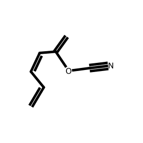 C=C/C=C\C(=C)OC#N